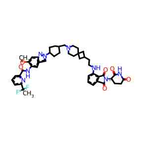 COc1cc2nn(C3CCC(CN4CCC5(CC4)CC(CCNc4cccc6c4C(=O)N([C@@H]4CCC(=O)NC4=O)C6=O)C5)CC3)cc2cc1NC(=O)c1cccc(C(C)(F)F)n1